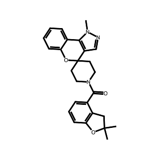 Cn1ncc2c1-c1ccccc1OC21CCN(C(=O)c2cccc3c2CC(C)(C)O3)CC1